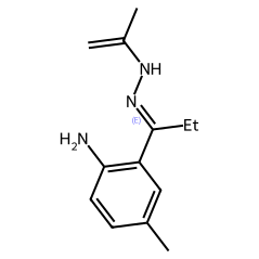 C=C(C)N/N=C(\CC)c1cc(C)ccc1N